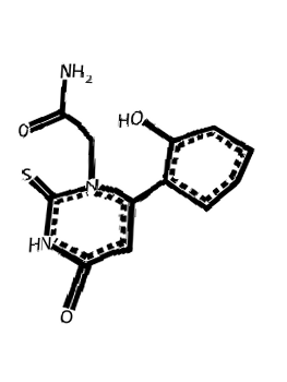 NC(=O)Cn1c(-c2ccccc2O)cc(=O)[nH]c1=S